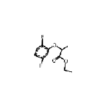 CCOC(=O)C(C)Oc1cc(F)ccc1F